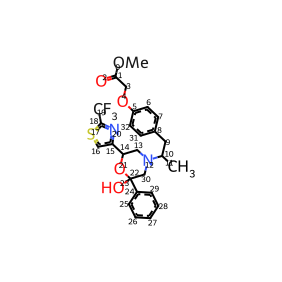 COC(=O)COc1ccc(CC(C)N2CC(c3csc(C(F)(F)F)n3)OC(O)(c3ccccc3)C2)cc1